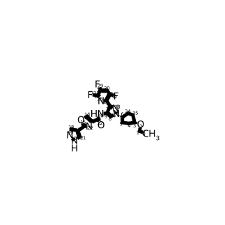 CCO[C@H]1CC[C@H](n2cc(NC(=O)c3coc(-c4cn[nH]c4)n3)c(-c3nc(F)c(F)cc3F)n2)CC1